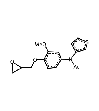 COc1cc(N(C(C)=O)c2ccsc2)ccc1OCC1CO1